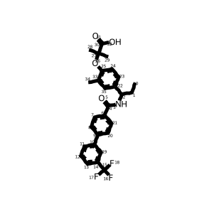 CCC(NC(=O)c1ccc(-c2cccc(C(F)(F)F)c2)cc1)c1ccc(OC(C)(C)C(=O)O)c(C)c1